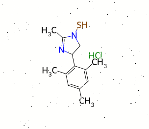 CC1=NC(c2c(C)cc(C)cc2C)CN1S.Cl